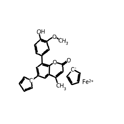 COc1cc(-c2cc(-[c-]3cccc3)cc3c(C)cc(=O)oc23)ccc1O.[Fe+2].c1cc[cH-]c1